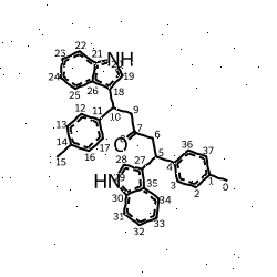 Cc1ccc(C(CC(=O)CC(c2ccc(C)cc2)c2c[nH]c3ccccc23)c2c[nH]c3ccccc23)cc1